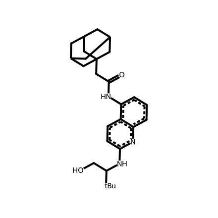 CC(C)(C)C(CO)Nc1ccc2c(NC(=O)CC34CC5CC(CC(C5)C3)C4)cccc2n1